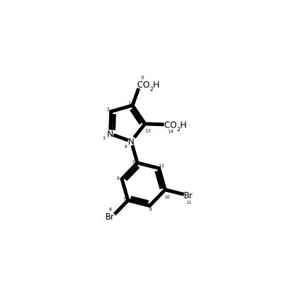 O=C(O)c1cnn(-c2cc(Br)cc(Br)c2)c1C(=O)O